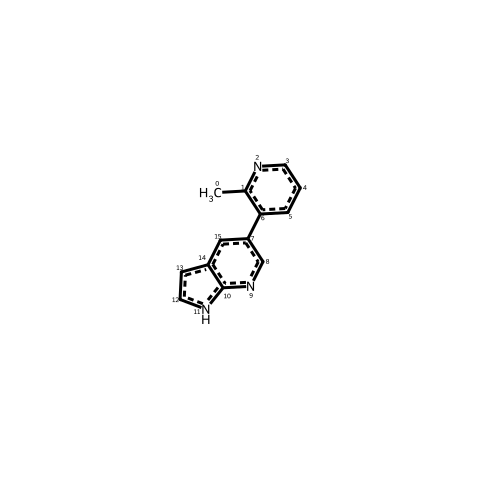 Cc1ncccc1-c1cnc2[nH]ccc2c1